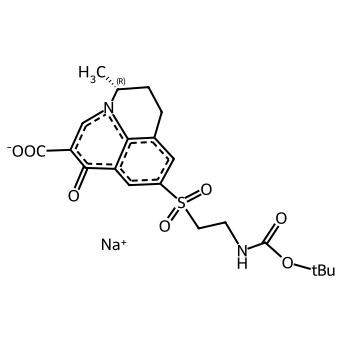 C[C@@H]1CCc2cc(S(=O)(=O)CCNC(=O)OC(C)(C)C)cc3c(=O)c(C(=O)[O-])cn1c23.[Na+]